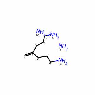 C=C(CCCN)CCCN.N.N